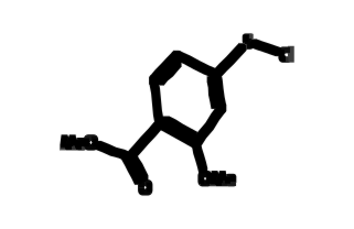 COC(=O)c1ccc(SCl)cc1OC